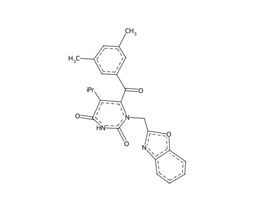 Cc1cc(C)cc(C(=O)c2c(C(C)C)c(=O)[nH]c(=O)n2Cc2nc3ccccc3o2)c1